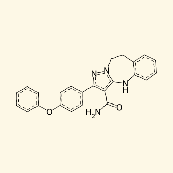 NC(=O)c1c(-c2ccc(Oc3ccccc3)cc2)nn2c1Nc1ccccc1CC2